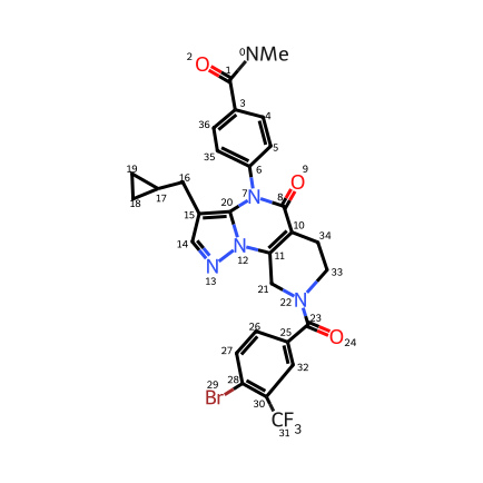 CNC(=O)c1ccc(-n2c(=O)c3c(n4ncc(CC5CC5)c24)CN(C(=O)c2ccc(Br)c(C(F)(F)F)c2)CC3)cc1